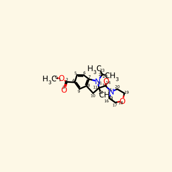 COC(=O)c1ccc2c(c1)CC(C)(C(=O)N1CCOCC1)N2C(C)C